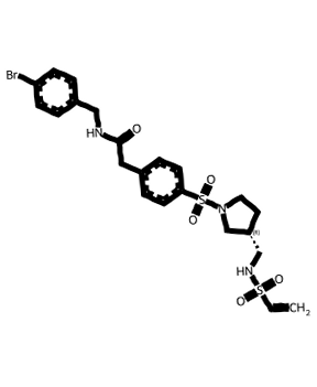 C=CS(=O)(=O)NC[C@H]1CCN(S(=O)(=O)c2ccc(CC(=O)NCc3ccc(Br)cc3)cc2)C1